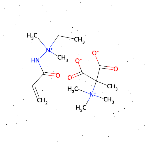 C=CC(=O)N[N+](C)(C)CC.CC(C(=O)[O-])(C(=O)[O-])[N+](C)(C)C